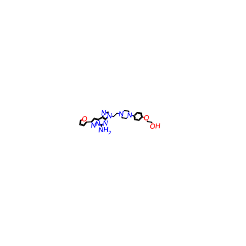 Nc1nc2c(ncn2CCN2CCN(c3ccc(OCCO)cc3)CC2)c2cc(-c3ccco3)nn12